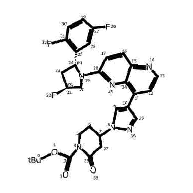 CC(C)(C)OC(=O)N1CCC(n2cc(-c3ccnc4ccc(N5C[C@@H](F)C[C@@H]5c5cc(F)ccc5F)nc34)cn2)CC1=O